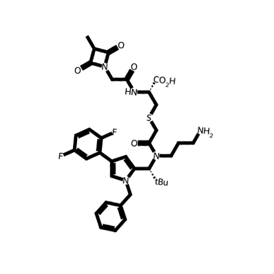 CC1C(=O)N(CC(=O)N[C@@H](CSCC(=O)N(CCCN)[C@@H](c2cc(-c3cc(F)ccc3F)cn2Cc2ccccc2)C(C)(C)C)C(=O)O)C1=O